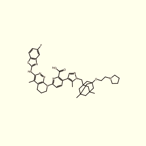 Cc1c(Nc2nc3cc(F)ccc3s2)nnc2c1CCCN2c1ccc(-c2cnn(CC34CC5(C)CC(C)(C3)CC(OCCN3CCCC3)(C5)C4)c2C)c(C(=O)O)n1